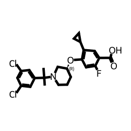 CC(C)(c1cc(Cl)cc(Cl)c1)N1CCC[C@@H](Oc2cc(F)c(C(=O)O)cc2C2CC2)C1